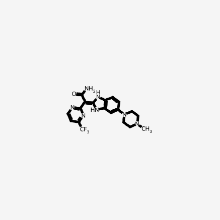 CN1CCN(c2ccc3c(c2)N/C(=C(/C(N)=O)c2nccc(C(F)(F)F)n2)N3)CC1